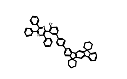 CCc1ccc(-c2ccc(-c3ccc4c(c3)-c3cc5c(cc3C43CCCCC3)-c3ccccc3C53CCCCC3)cc2)cc1-c1nc(-c2ccccc2)c(-c2ccccc2)nc1-c1ccccc1